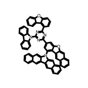 c1ccc2cc3c(cc2c1)oc1cc(-c2nc(-c4cccc5oc6ccccc6c45)nc(-n4c5ccccc5c5ccccc54)n2)cc(-n2c4cc5ccccc5cc4c4cc5ccccc5cc42)c13